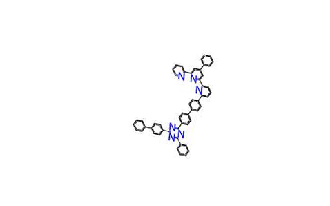 c1ccc(-c2ccc(-c3nc(-c4ccccc4)nc(-c4ccc(-c5ccc(-c6cccc(-c7cc(-c8ccccc8)cc(-c8ccccn8)n7)n6)cc5)cc4)n3)cc2)cc1